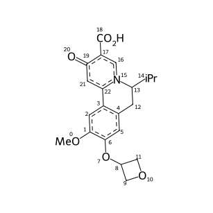 COc1cc2c(cc1OC1COC1)CC(C(C)C)n1cc(C(=O)O)c(=O)cc1-2